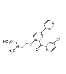 CN(CCOc1ccc(-c2ccccc2)cc1C(=O)c1cccc(Cl)c1)CC(=O)O